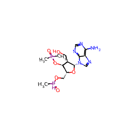 C[PH](=O)OC[C@H]1O[C@@H](n2cnc3c(N)ncnc32)[C@H](CO)[C@@H]1OP(C)(C)=O